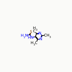 Cc1nc(C)c(NC(N)=S)c(C)n1